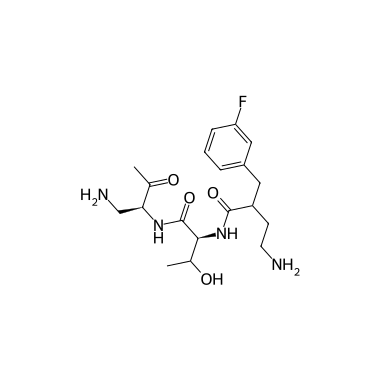 CC(=O)[C@H](CN)NC(=O)[C@@H](NC(=O)C(CCN)Cc1cccc(F)c1)C(C)O